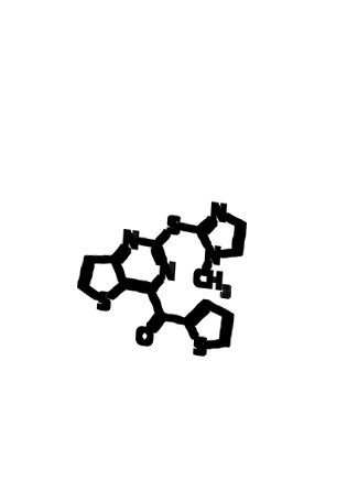 Cn1ccnc1Sc1nc(C(=O)c2cccs2)c2sccc2n1